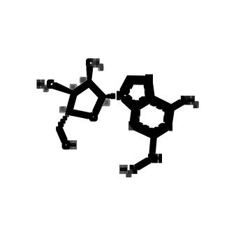 C[C@@H]1[C@H](C)[C@@H](CO)O[C@H]1n1cnc2c(N)nc(NN)nc21